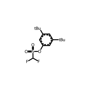 CC(C)(C)c1cc(OS(=O)(=O)C(F)F)cc(C(C)(C)C)c1